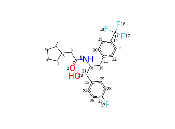 O=C(CC1CCCC1)NC(Cc1ccc(C(F)(F)F)cc1)C(O)c1ccc(F)cc1